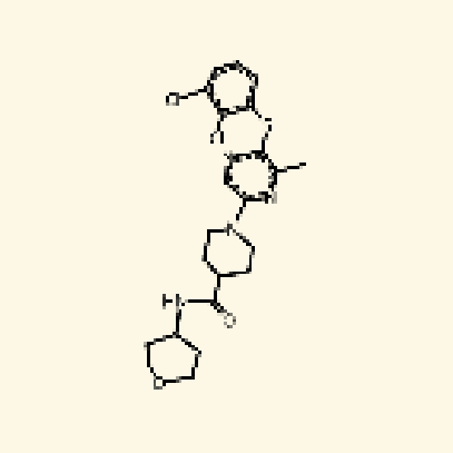 Cc1nc(N2CC[C](C(=O)NC3CCOCC3)CC2)cnc1Sc1cccc(Cl)c1Cl